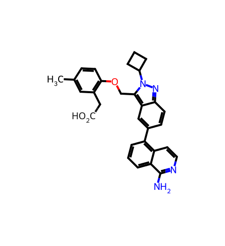 Cc1ccc(OCc2c3cc(-c4cccc5c(N)nccc45)ccc3nn2C2CCC2)c(CC(=O)O)c1